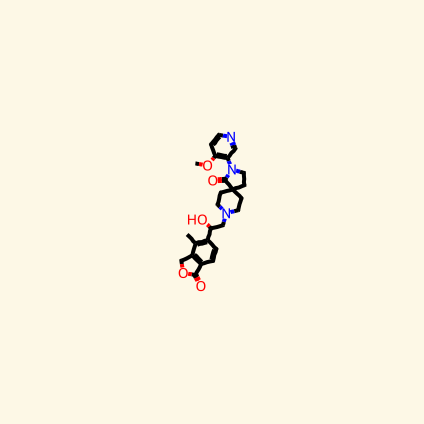 COc1ccncc1N1CCC2(CCN(CC(O)c3ccc4c(c3C)COC4=O)CC2)C1=O